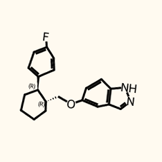 Fc1ccc([C@@H]2CCCC[C@H]2COc2ccc3[nH]ncc3c2)cc1